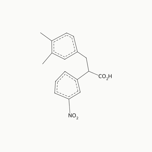 Cc1ccc(CC(C(=O)O)c2cccc([N+](=O)[O-])c2)cc1C